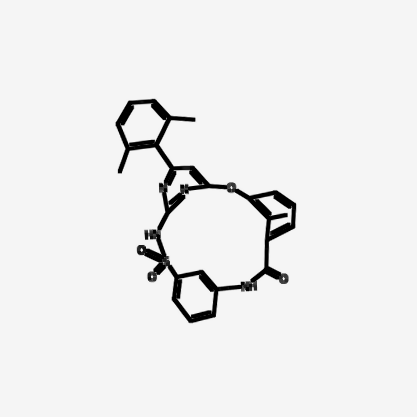 Cc1cccc(C)c1-c1cc2nc(n1)NS(=O)(=O)c1cccc(c1)NC(=O)c1cccc(c1C)O2